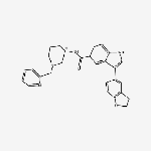 O=C(N[C@@H]1CCCN(Cc2ccccn2)C1)C1C=c2c(-c3ccc4c(c3)CCO4)n[nH]c2=CC1